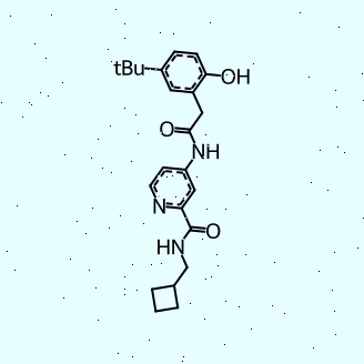 CC(C)(C)c1ccc(O)c(CC(=O)Nc2ccnc(C(=O)NCC3CCC3)c2)c1